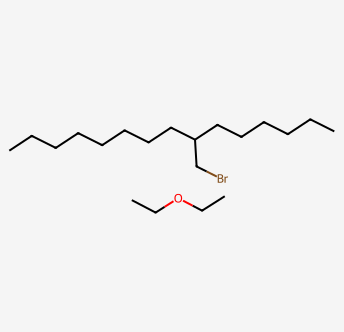 CCCCCCCCC(CBr)CCCCCC.CCOCC